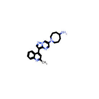 Cc1cc(-c2cnn3cc(N4CCCC(N)CCC4)cnc23)c2ccccc2n1